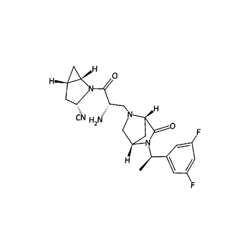 C[C@H](c1cc(F)cc(F)c1)N1C(=O)[C@@H]2C[C@H]1CN2C[C@H](N)C(=O)N1[C@H](C#N)C[C@@H]2C[C@@H]21